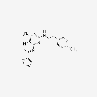 Cc1ccc(CCNc2nc(N)c3ncc(-c4ccco4)nc3n2)cc1